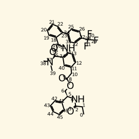 CCC(=O)N[C@H](COC(=O)Cc1ccc(NC(=O)c2ccccc2-c2ccc(C(F)(F)F)cc2)c(C(=O)N(C)C)c1)c1ccccc1